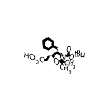 CC(C)(C)OC(=O)N1[C@@H](CC2CCCCC2)[C@@H](CCC(=O)O)OC1(C)C